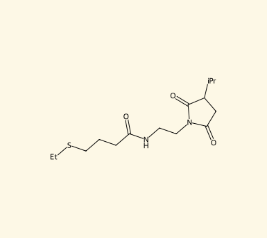 CCSCCCC(=O)NCCN1C(=O)CC(C(C)C)C1=O